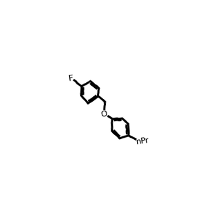 CCCc1ccc(OCc2ccc(F)cc2)cc1